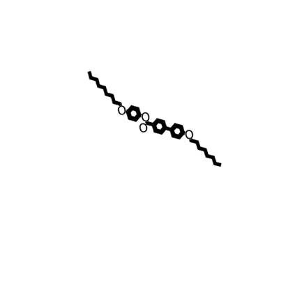 CCCCCCCCCOc1ccc(OC(=O)c2ccc(-c3ccc(OCCCCCCCC)cc3)cc2)cc1